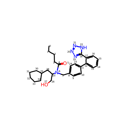 CCCCC(=O)N(Cc1ccc(-c2ccccc2-c2nnn[nH]2)cc1)C(CO)CC1CCCCC1